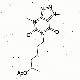 CC(=O)OC(C)CCCCn1c(=O)c2c(nnn2C)n(C)c1=O